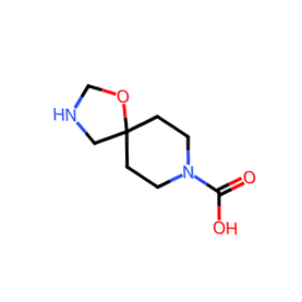 O=C(O)N1CCC2(CC1)CNCO2